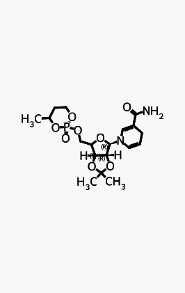 CC1CCOP(=O)(OCC2O[C@@H](N3C=CCC(C(N)=O)=C3)[C@@H]3OC(C)(C)O[C@H]23)O1